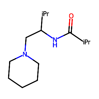 CC(C)C(=O)NC(CN1CCCCC1)C(C)C